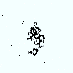 O=C(N[C@@H]1CCNC1)c1nccc(N2CCNCC2)c1C(=O)C1(C(F)(F)F)CCCCC1